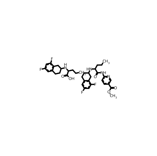 CCCC(NC1CCc2cc(F)cc(F)c2C1)C(=O)Nc1ccc(C(=O)OC)cn1.CCCC(NC1CCc2cc(F)cc(F)c2C1)C(=O)O